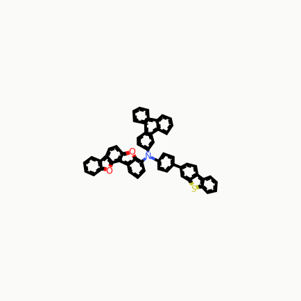 c1ccc2c(c1)oc1c2ccc2oc3c(N(c4ccc(-c5ccc6c(c5)sc5ccccc56)cc4)c4ccc5c6ccccc6c6ccccc6c5c4)cccc3c21